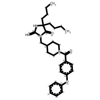 CCCCC1(CCCC)NC(=N)N(CC2CCN(C(=O)c3ccc(Oc4ccccc4)cc3)CC2)C1=O